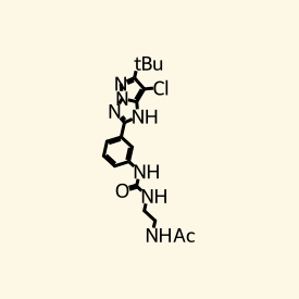 CC(=O)NCCNC(=O)Nc1cccc(-c2nn3nc(C(C)(C)C)c(Cl)c3[nH]2)c1